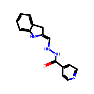 O=C(NNC=C1Cc2ccccc2N1)c1ccncc1